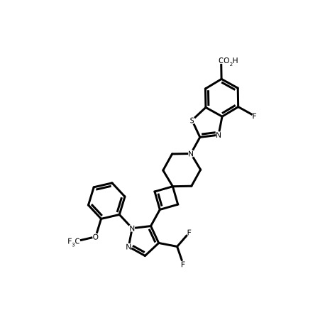 O=C(O)c1cc(F)c2nc(N3CCC4(C=C(c5c(C(F)F)cnn5-c5ccccc5OC(F)(F)F)C4)CC3)sc2c1